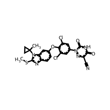 CSc1nc2ccc(Oc3c(Cl)cc(-n4nc(C#N)c(=O)[nH]c4=O)cc3Cl)cc2n1C1(C)CC1